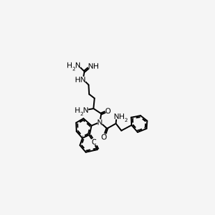 N=C(N)NCCCC(N)C(=O)N(C(=O)C(N)Cc1ccccc1)c1cccc2ccccc12